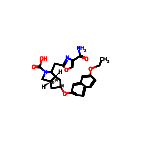 CCOc1ccc2ccc(O[C@H]3C[C@H]4CN(C(=O)O)C(Cc5nc(C(N)=O)co5)[C@H]4C3)cc2c1